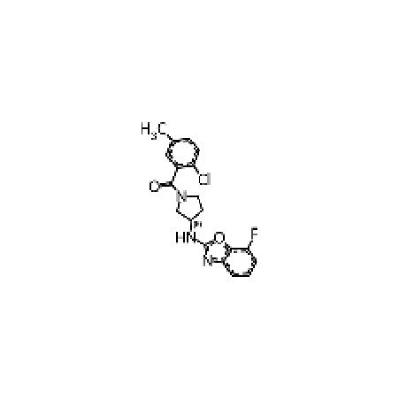 Cc1ccc(Cl)c(C(=O)N2CC[C@@H](Nc3nc4cccc(F)c4o3)C2)c1